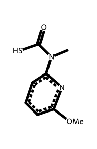 COc1cccc(N(C)C(=O)S)n1